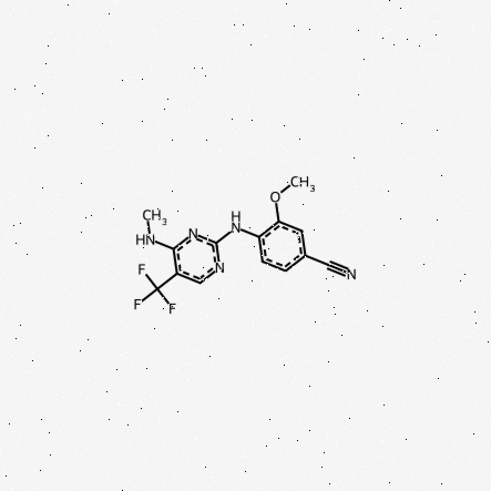 CNc1nc(Nc2ccc(C#N)cc2OC)ncc1C(F)(F)F